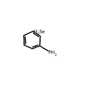 Pc1ccccc1.[SeH2]